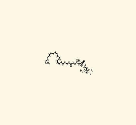 CCCCC/C=C\C/C=C\C/C=C\C/C=C\CCCCCC(=O)OC[C@@H](O)COP(=O)([O-])OCC[N+](C)(C)C